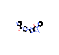 Nc1ncc(N2CCN(C(=O)c3cccnc3)CC2)nc1C(=O)Nc1ccccn1